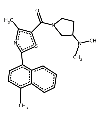 Cc1nc(-c2ccc(C)c3ccccc23)sc1C(=O)N1CCC(N(C)C)C1